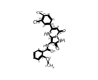 COc1ccccc1C(=O)Nc1c(=O)[nH]n2c(=O)cc(-c3ccc(Cl)c(Cl)c3)[nH]c12